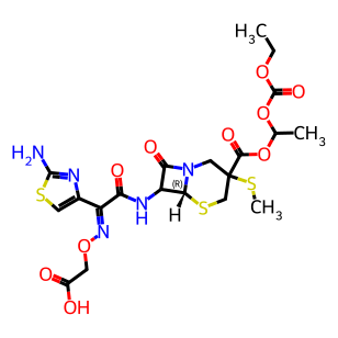 CCOC(=O)OC(C)OC(=O)C1(SC)CS[C@@H]2C(NC(=O)C(=NOCC(=O)O)c3csc(N)n3)C(=O)N2C1